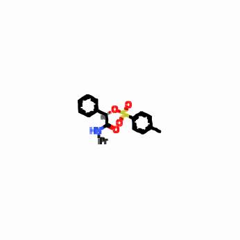 Cc1ccc(S(=O)(=O)O[C@H](C(=O)NC(C)C)c2ccccc2)cc1